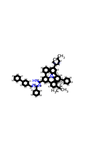 C=C/C=C\C(=C/C)c1ccc2c(c1)c1cc(-c3ccccc3)ccc1n2-c1c(-c2ccccc2)cc(C(=N)/N=C(\N=C\c2ccc(-c3ccccc3)cc2)c2ccccc2)cc1-c1ccc(C(C)(C)C)cc1